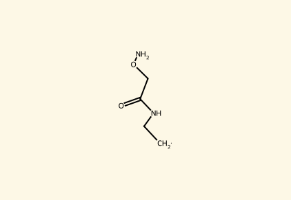 [CH2]CNC(=O)CON